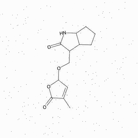 CC1=CC(OCC2C(=O)NC3CCCC32)OC1=O